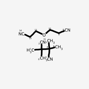 CC(C)(C#N)C(C)(C)C#N.N#CCCOCCC#N